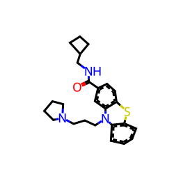 O=C(NCC1CCC1)c1ccc2c(c1)N(CCCN1CCCC1)c1ccccc1S2